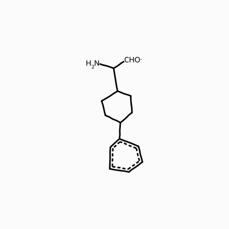 NC([C]=O)C1CCC(c2ccccc2)CC1